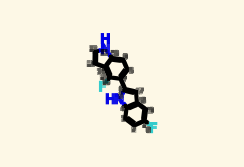 Fc1ccc2[nH]c(-c3ccc4[nH]ccc4c3F)cc2c1